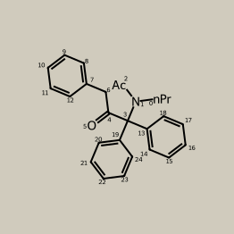 CCCN(C(C)=O)C(C(=O)Cc1ccccc1)(c1ccccc1)c1ccccc1